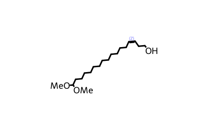 COC(CCCCCCCCCCCC/C=C\CCO)OC